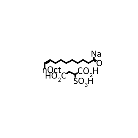 CCCCCCCC/C=C\CCCCCCC[C](=O)[Na].O=C(O)CC(C(=O)O)S(=O)(=O)O